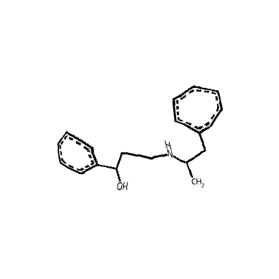 CC(Cc1ccccc1)NCCC(O)c1ccccc1